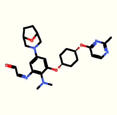 Cc1nccc(O[C@H]2CC[C@@H](Oc3cc(N4CC5CCC(C4)O5)cc(/N=C\C=O)c3N(C)C)CC2)n1